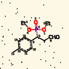 CCOP(=O)(OCC)C(CC=O)c1ccc(C)cc1